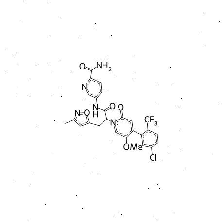 COc1cn(C(Cc2cc(C)no2)C(=O)Nc2ccc(C(N)=O)nc2)c(=O)cc1-c1cc(Cl)ccc1C(F)(F)F